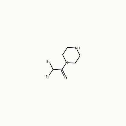 CCC(CC)C(=O)N1CCNCC1